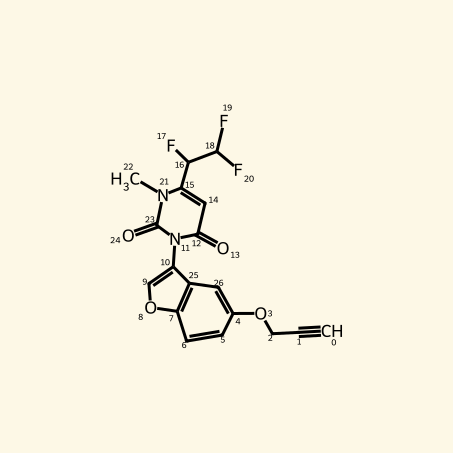 C#CCOc1ccc2occ(-n3c(=O)cc(C(F)C(F)F)n(C)c3=O)c2c1